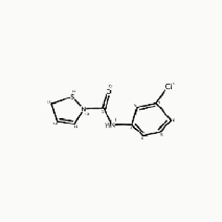 O=C(Nc1cccc(Cl)c1)N1C=CCS1